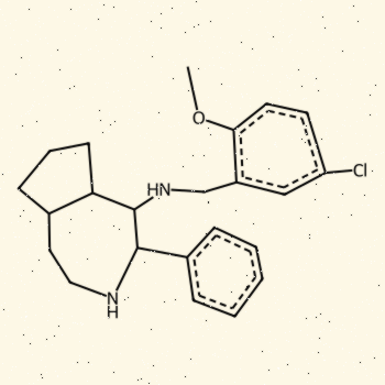 COc1ccc(Cl)cc1CNC1C(c2ccccc2)NCCC2CCCC21